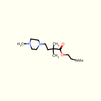 CNCCOC(=O)C(C)(C)CCN1CCN(C)CC1